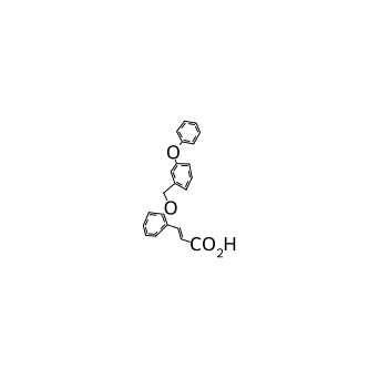 O=C(O)C=Cc1ccccc1OCc1cccc(Oc2ccccc2)c1